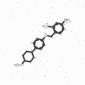 CCCCCCCCC1CCC(c2ccc(OCc3ccc(N)cc3N)cc2)CC1